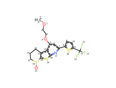 COCCOc1cc(-c2ccc(C(F)(F)F)s2)nc2sc3c(c12)CCC[S+]3[O-]